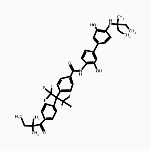 CCC(C)(CC)Nc1ccc(-c2ccc(NC(=O)c3ccc(C(c4ccc(C(=O)C(C)(C)CC)cc4)(C(F)(F)F)C(F)(F)F)cc3)c(O)c2)cc1O